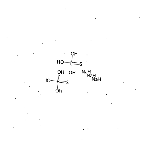 OP(O)(O)=S.OP(O)(O)=S.[NaH].[NaH].[NaH]